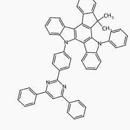 CC1(C)c2ccccc2-c2c1c1c(c3ccccc3n1-c1ccccc1)c1c2c2ccccc2n1-c1ccc(-c2nc(-c3ccccc3)cc(-c3ccccc3)n2)cc1